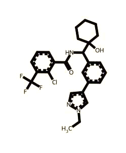 CCn1cc(-c2cccc(C(NC(=O)c3cccc(C(F)(F)F)c3Cl)C3(O)CCCCC3)c2)cn1